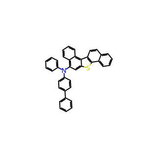 c1ccc(-c2ccc(N(c3ccccc3)c3cc4sc5c6ccccc6ccc5c4c4ccccc34)cc2)cc1